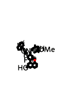 C#Cc1cccc2cc(O)cc(-c3c(F)cc4c(N5CC6(C)C[C@@H](OC)C(C)(C5)N6)nc(OC[C@@]56CCCN5C[C@H](C)C6)nc4c3F)c12